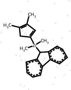 CC1=C(C)C[C]([Zr]([CH3])([CH3])[CH]2c3ccccc3-c3ccccc32)=C1